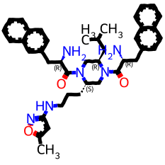 Cc1cc(NCCC[C@H]2CN(C(=O)[C@H](N)Cc3ccc4ccccc4c3)[C@H](CC(C)C)CN2C(=O)[C@H](N)Cc2ccc3ccccc3c2)no1